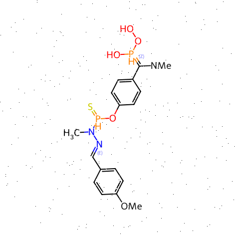 CN/C(c1ccc(O[PH](=S)N(C)/N=C/c2ccc(OC)cc2)cc1)=[PH](/O)OO